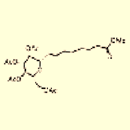 COC(=O)CCCCCCC[C@@H]1O[C@H](COC(C)=O)[C@@H](OC(C)=O)[C@H](OC(C)=O)[C@@H]1OC(C)=O